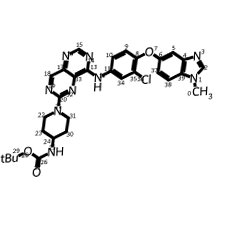 Cn1cnc2cc(Oc3ccc(Nc4ncnc5cnc(N6CCC(NC(=O)OC(C)(C)C)CC6)nc45)cc3Cl)ccc21